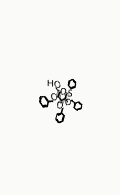 OC[C@H]1O[C@H](Sc2ccccc2)[C@@H](OCc2ccccc2)[C@@H](OCc2ccccc2)[C@@H]1OCc1ccccc1